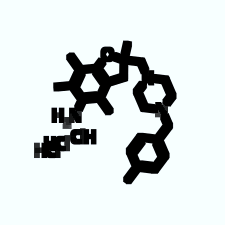 Cc1ccc(CN2CCN(CC3(C)Cc4c(C)c(N)c(C)c(C)c4O3)CC2)cc1.Cl.Cl.Cl